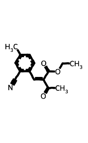 CCOC(=O)/C(=C\c1ccc(C)cc1C#N)C(C)=O